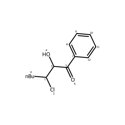 CCCCC(Cl)C(O)C(=O)c1ccccc1